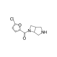 O=C(c1ccc(Cl)o1)N1CC2CNCC21